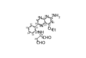 CCOc1nc(N)nc2ncc(-c3ccccc3NC(C=O)CC=O)nc12